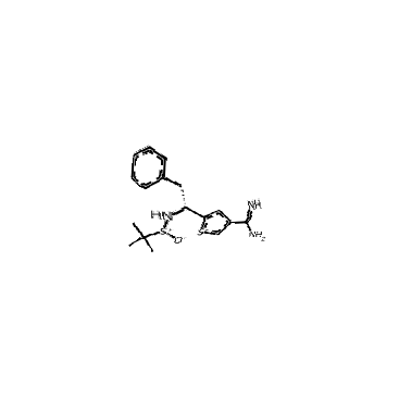 CC(C)(C)[S+]([O-])N[C@H](Cc1ccccc1)c1cc(C(=N)N)cs1